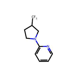 FC(F)(F)C1CCN(c2ccccn2)C1